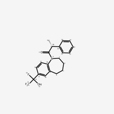 C[C@@H](C(=O)N1CCCCc2cc(C(O)(F)C(F)(F)F)ccc21)c1ccccc1